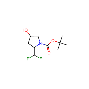 CC(C)(C)OC(=O)N1CC(O)CC1C(F)F